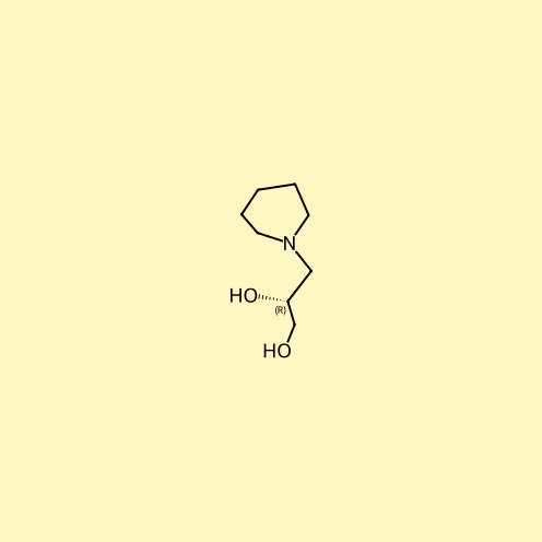 OC[C@H](O)CN1CCCCC1